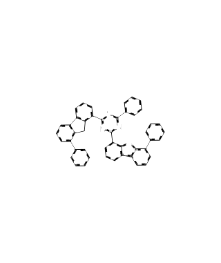 c1ccc(-c2nc(-c3cccc4c3Cc3c(-c5ccccc5)cccc3-4)nc(-c3cccc4c3sc3c(-c5ccccc5)cccc34)n2)cc1